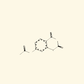 CC(=O)Oc1ccc2c(c1)CC(=O)OC2=O